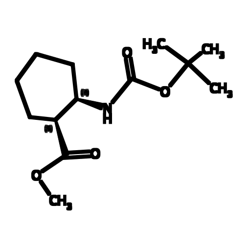 COC(=O)[C@H]1CCCC[C@H]1NC(=O)OC(C)(C)C